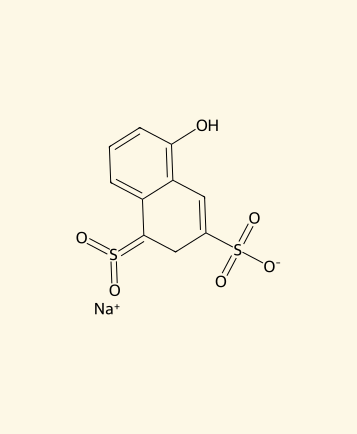 O=S(=O)=C1CC(S(=O)(=O)[O-])=Cc2c(O)cccc21.[Na+]